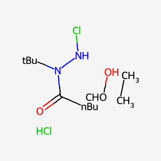 CC.CCCCC(=O)N(NCl)C(C)(C)C.Cl.O=CO